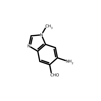 Cn1cnc2cc(C=O)c(N)cc21